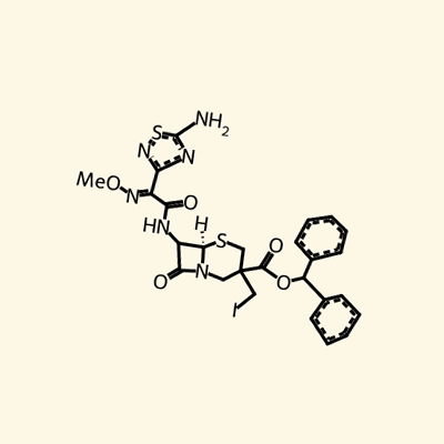 CON=C(C(=O)NC1C(=O)N2CC(CI)(C(=O)OC(c3ccccc3)c3ccccc3)CS[C@H]12)c1nsc(N)n1